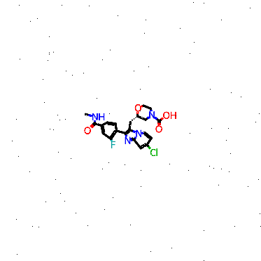 CNC(=O)c1ccc(-c2nc3cc(Cl)ccn3c2C[C@H]2CN(C(=O)O)CCO2)c(F)c1